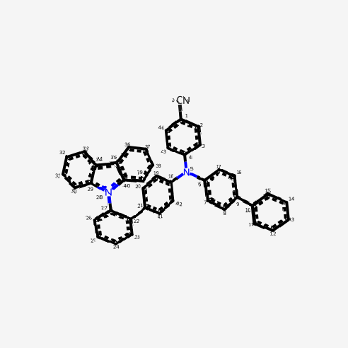 N#Cc1ccc(N(c2ccc(-c3ccccc3)cc2)c2ccc(-c3ccccc3-n3c4ccccc4c4ccccc43)cc2)cc1